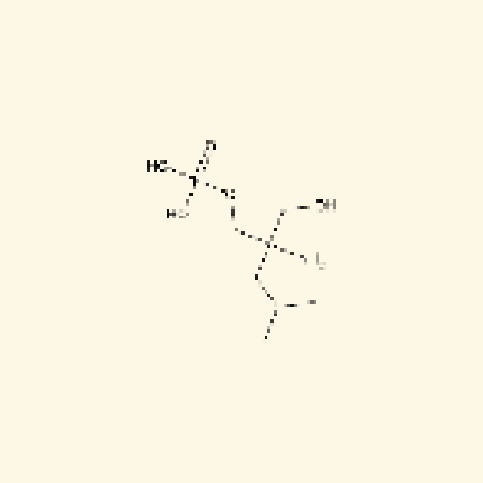 CC(C)CC(N)(CO)COP(=O)(O)O